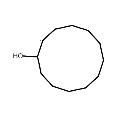 OC1[CH]CCCCCCCCCC1